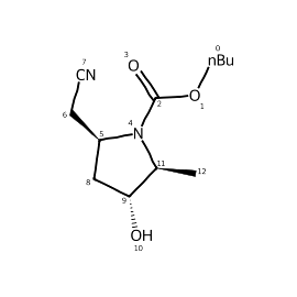 CCCCOC(=O)N1[C@H](CC#N)C[C@@H](O)[C@@H]1C